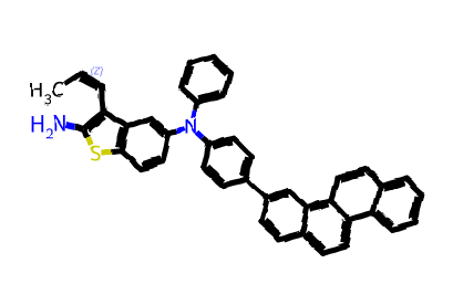 C/C=C\c1c(N)sc2ccc(N(c3ccccc3)c3ccc(-c4ccc5ccc6c7ccccc7ccc6c5c4)cc3)cc12